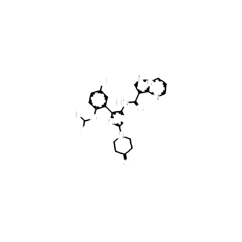 O=C1CCN(c2nc(-c3cc(Cl)ccc3OC(F)F)c(NC(=O)c3cnn4cccnc34)s2)CC1